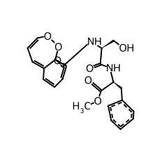 COC(=O)[C@H](Cc1ccccc1)NC(=O)[C@H](CO)NC1=CC2=CC=CC3=CC=COOC32CO1